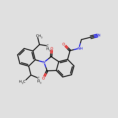 CC(C)c1cccc(C(C)C)c1N1C(=O)c2cccc(C(=O)NCC#N)c2C1=O